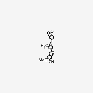 COc1cc(CC(=O)N2CCN(CCc3ccc4c(c3)COC4=O)C(C)C2)c(F)cc1C#N